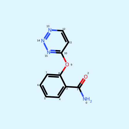 NC(=O)c1ccccc1Oc1ccnnn1